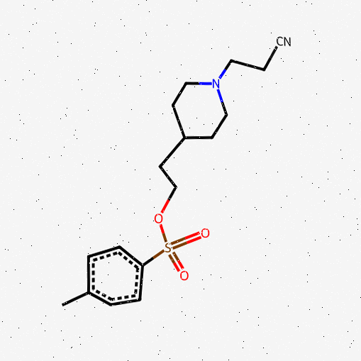 Cc1ccc(S(=O)(=O)OCCC2CCN(CCC#N)CC2)cc1